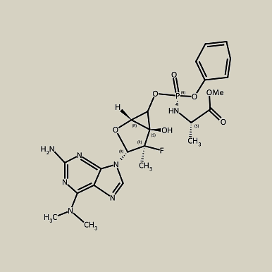 COC(=O)[C@H](C)N[P@](=O)(Oc1ccccc1)OC1[C@H]2O[C@@H](n3cnc4c(N(C)C)nc(N)nc43)[C@](C)(F)[C@@]12O